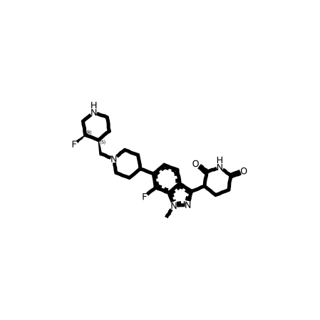 Cn1nc(C2CCC(=O)NC2=O)c2ccc(C3CCN(C[C@@H]4CCNC[C@@H]4F)CC3)c(F)c21